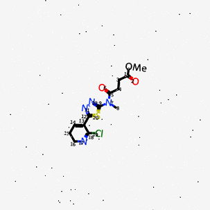 COC(=O)CCC(=O)N(C)c1nnc(C2=CCCN=C2Cl)s1